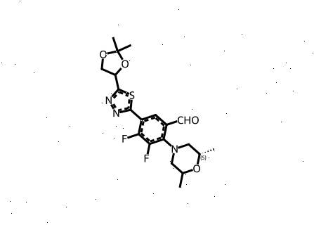 CC1CN(c2c(C=O)cc(-c3nnc(C4COC(C)(C)O4)s3)c(F)c2F)C[C@H](C)O1